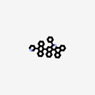 c1ccc(-c2nc3c4ccccc4c4ccccc4c3c3c2cc(-c2c4ccccc4c(-c4cccnc4)c4ccccc24)c2ccccc23)cc1